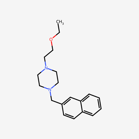 CCOCCN1CCN(Cc2ccc3ccccc3c2)CC1